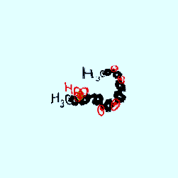 Cc1ccc(C(=O)c2ccc(Oc3ccc(-c4ccc(Oc5ccc(C(=O)c6ccc(Cc7ccc(-c8ccc(C)cc8)c(S(=O)(=O)O)c7)cc6)cc5)cc4)cc3)cc2)cc1